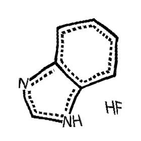 F.c1ccc2[nH]cnc2c1